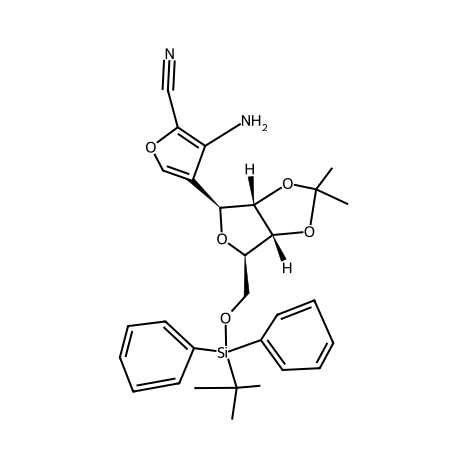 CC1(C)O[C@@H]2[C@H](O1)[C@@H](CO[Si](c1ccccc1)(c1ccccc1)C(C)(C)C)O[C@H]2c1coc(C#N)c1N